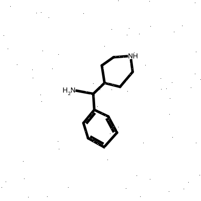 NC(c1ccccc1)C1CCNCC1